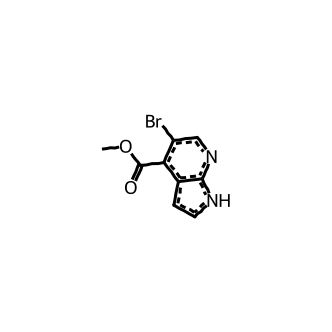 COC(=O)c1c(Br)cnc2[nH]ccc12